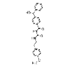 COc1ccc(CCNC(=O)NC(=O)c2ccc(C(O)c3ccccc3)cc2)cc1